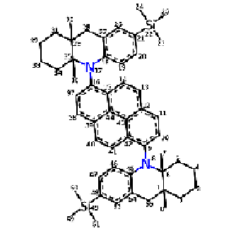 CC12CCCCC1(C)N(c1ccc3ccc4c(N5c6ccc([Si](C)(C)C)cc6CC6(C)CCCCC56C)ccc5ccc1c3c54)c1ccc([Si](C)(C)C)cc1C2